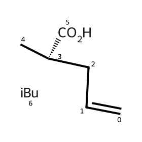 C=CC[C@@](C)(C(=O)O)[C@H](C)CC